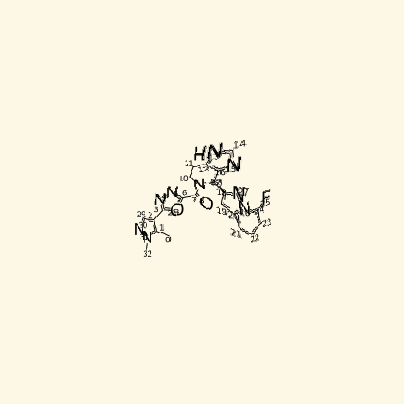 Cc1c(-c2nnc(C(=O)N3CCc4[nH]cnc4[C@H]3c3cc4cccc(F)n4n3)o2)cnn1C